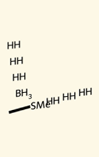 B.CSC.[HH].[HH].[HH].[HH].[HH].[HH]